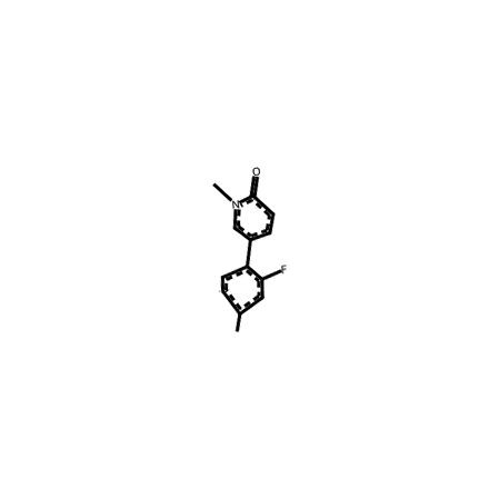 Cc1[c]cc(-c2ccc(=O)n(C)c2)c(F)c1